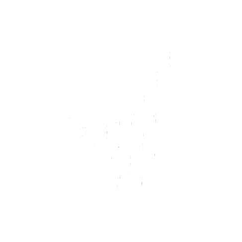 CN(C)CCOc1ccc(C(I)=C(c2ccccc2)C(I)(CCl)c2ccc(O)cc2)cc1